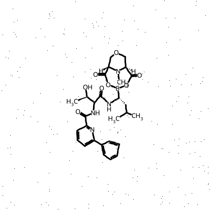 CC(C)C[C@H](NC(=O)C(NC(=O)c1cccc(-c2ccccc2)n1)[C@@H](C)O)B1OC(=O)[C@@H]2COC[C@@H](C(=O)O1)N2C